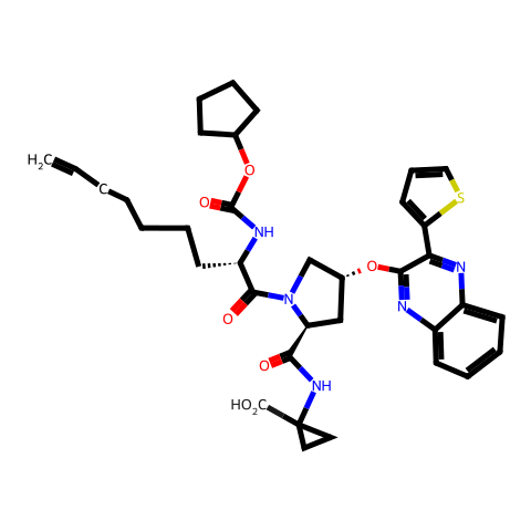 C=CCCCCC[C@H](NC(=O)OC1CCCC1)C(=O)N1C[C@H](Oc2nc3ccccc3nc2-c2cccs2)C[C@H]1C(=O)NC1(C(=O)O)CC1